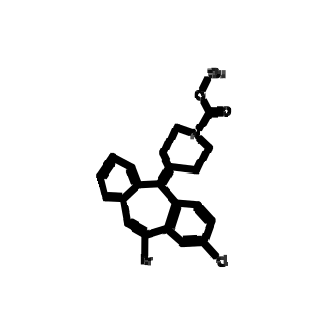 CC(C)(C)OC(=O)N1CCC(=C2c3ccccc3C=C(Br)c3cc(Cl)ccc32)CC1